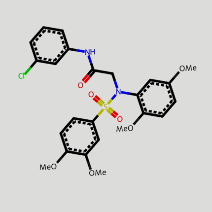 COc1ccc(OC)c(N(CC(=O)Nc2cccc(Cl)c2)S(=O)(=O)c2ccc(OC)c(OC)c2)c1